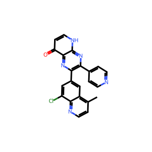 Cc1ccnc2c(Cl)cc(-c3nc4c(=O)cc[nH]c4nc3-c3ccncc3)cc12